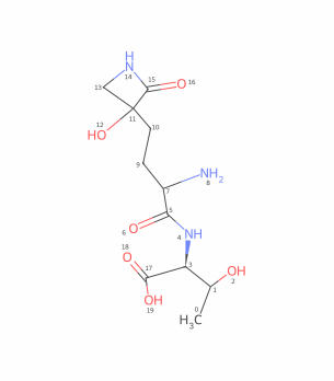 CC(O)[C@H](NC(=O)C(N)CCC1(O)CNC1=O)C(=O)O